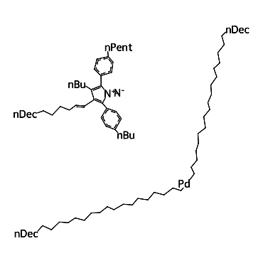 CCCCCCCCCCCCCCC=CC1=C(c2ccc(CCCC)cc2)[N+](=[N-])C(c2ccc(CCCCC)cc2)=C1CCCC.CCCCCCCCCCCCCCCCCCCCCCCCCCC[CH2][Pd][CH2]CCCCCCCCCCCCCCCCCCCCCCCCCCC